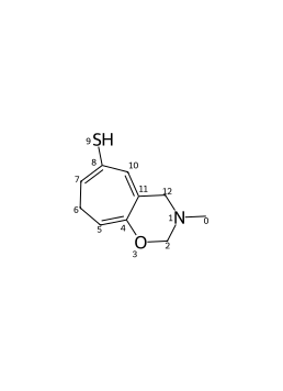 CN1COC2=CCC=C(S)C=C2C1